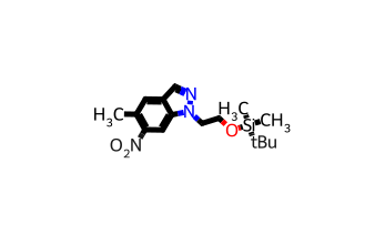 Cc1cc2cnn(CCO[Si](C)(C)C(C)(C)C)c2cc1[N+](=O)[O-]